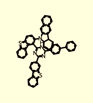 C1=CC2c3cc4ccccc4cc3N(c3ccc4sc5ccccc5c4c3C3=NC(c4ccc5c(c4)sc4ccccc45)=NC(c4ccc(-c5ccccc5)cc4)N3)C2C=C1